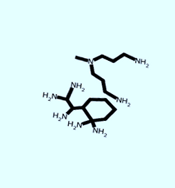 CN(CCCN)CCCN.NC(N)C(N)C1CCCCC1(N)N